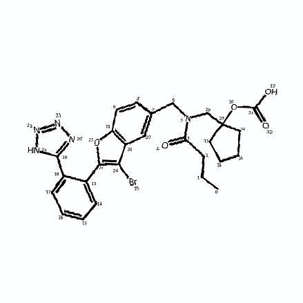 CCCC(=O)N(Cc1ccc2oc(-c3ccccc3-c3nnn[nH]3)c(Br)c2c1)CC1(OC(=O)O)CCCC1